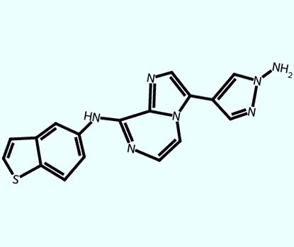 Nn1cc(-c2cnc3c(Nc4ccc5sccc5c4)nccn23)cn1